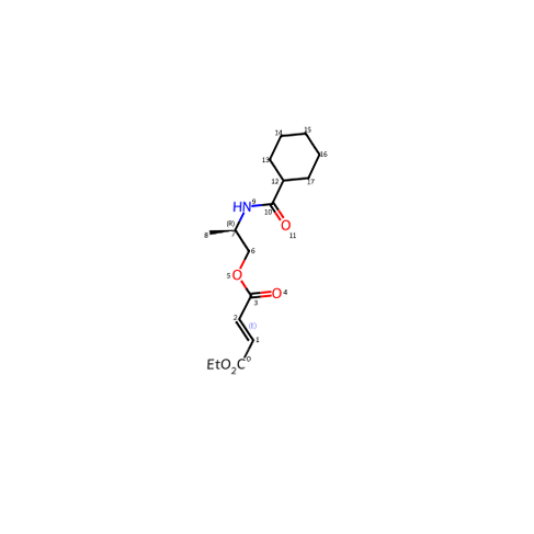 CCOC(=O)/C=C/C(=O)OC[C@@H](C)NC(=O)C1CCCCC1